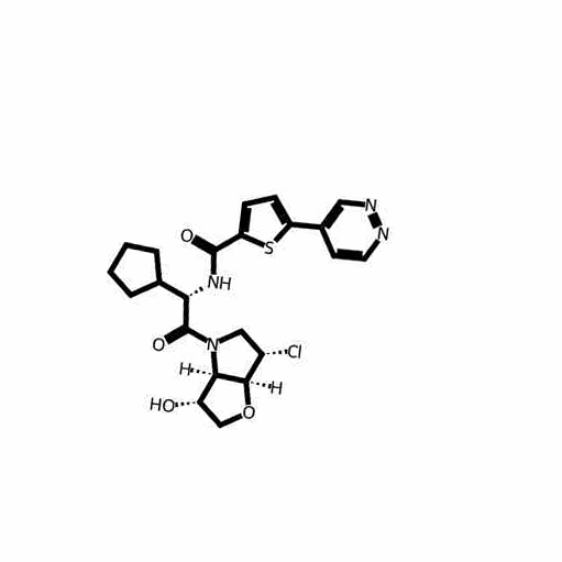 O=C(N[C@H](C(=O)N1C[C@H](Cl)[C@H]2OC[C@H](O)[C@H]21)C1CCCC1)c1ccc(-c2ccnnc2)s1